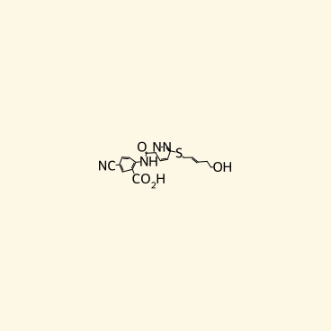 N#Cc1ccc(NC(=O)c2ccc(SC/C=C/CCO)nn2)c(C(=O)O)c1